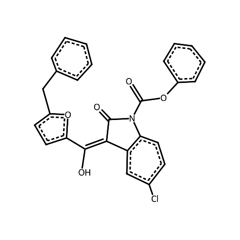 O=C(Oc1ccccc1)N1C(=O)C(=C(O)c2ccc(Cc3ccccc3)o2)c2cc(Cl)ccc21